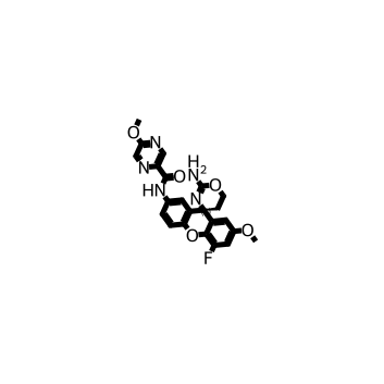 COc1cc(F)c2c(c1)[C@]1(CCOC(N)=N1)c1cc(NC(=O)c3cnc(OC)cn3)ccc1O2